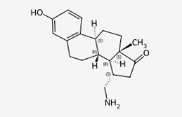 C[C@]12CC[C@@H]3c4ccc(O)cc4CC[C@H]3[C@@H]1[C@@H](CN)CC2=O